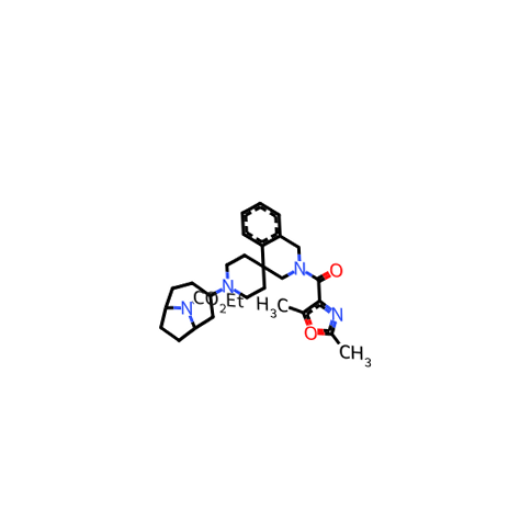 CCOC(=O)N1C2CCC(N3CCC4(CC3)CN(C(=O)c3nc(C)oc3C)Cc3ccccc34)CC1CC2